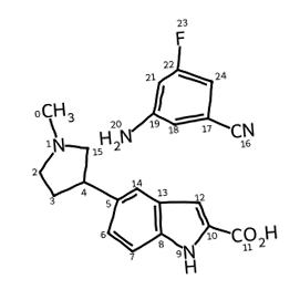 CN1CCC(c2ccc3[nH]c(C(=O)O)cc3c2)C1.N#Cc1cc(N)cc(F)c1